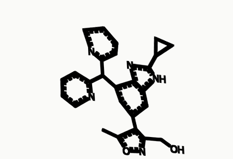 Cc1onc(CO)c1-c1cc(C(c2ccccn2)c2ccccn2)c2nc(C3CC3)[nH]c2c1